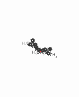 Cc1ccc(C)c(N(c2ccccc2)c2ccc3cc4c(cc3c2)oc2c(C)c3oc5cc6cc(N(c7ccccc7)c7cc(C)ccc7C)ccc6cc5c3cc24)c1